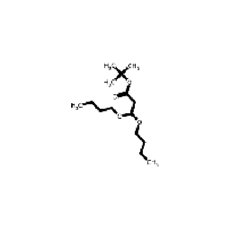 CCCCOC(CC(=O)OC(C)(C)C)OCCCC